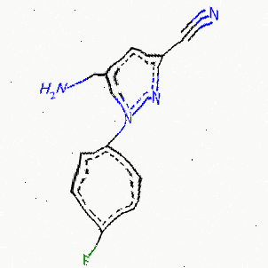 N#Cc1cc(N)n(-c2ccc(F)cc2)n1